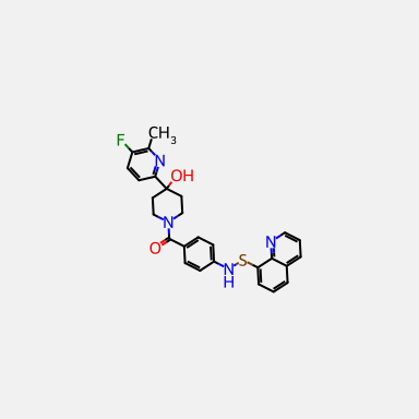 Cc1nc(C2(O)CCN(C(=O)c3ccc(NSc4cccc5cccnc45)cc3)CC2)ccc1F